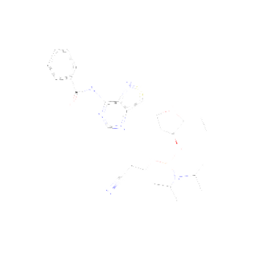 CC[C@H]1O[C@@H](c2snc3c(NC(=O)c4ccccc4)ncnc23)C[C@@H]1OP(OCCC#N)N(C(C)C)C(C)C